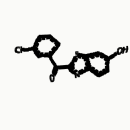 O=C(c1cccc(Cl)c1)c1nc2ccc(O)cc2s1